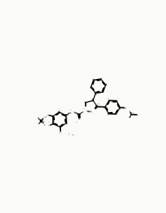 COc1cc(NC(=O)N2CC(c3ccccc3)C(c3ccc(OC(F)F)cc3)=N2)cc2c1OC(C)(C)O2